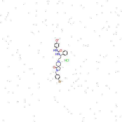 COc1ccc(NC(=O)NC(CCN2CCC3(CC2)CCN(Cc2ccc(Br)cc2)C3=O)c2ccccc2)cc1.Cl